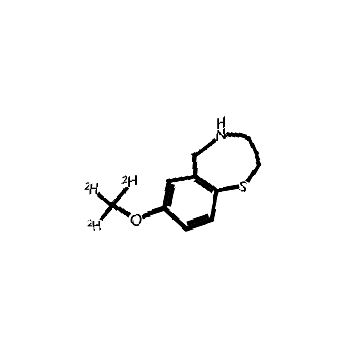 [2H]C([2H])([2H])Oc1ccc2c(c1)CNCCS2